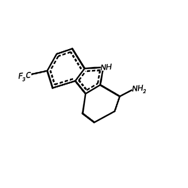 NC1CCCc2c1[nH]c1ccc(C(F)(F)F)cc21